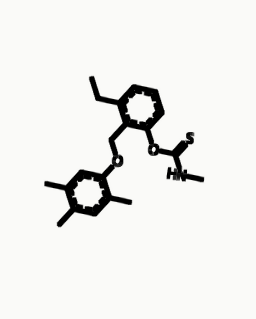 CCc1cccc(OC(=S)NC)c1COc1cc(C)c(C)cc1C